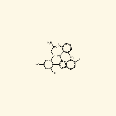 CCCc1cc(O)cc(OCC(N)=O)c1-c1nc2ccc(F)cn2c1Nc1c(C)cccc1C